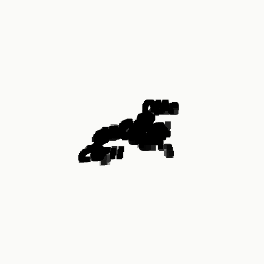 COc1ccc(C(=O)N(C)c2ccncc2)c(N2CCC(COc3cccc(C(CC(=O)O)C4CC4)c3)CC2)c1